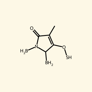 BC1C(OS)=C(C)C(=O)N1B